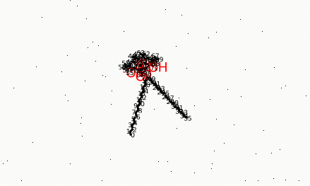 CCCCCCCCCCCCCCCCCCC(CCCCCCCCCCCCCCCCC)OC(=O)C(Cc1cc(C(C)(C)C)cc(C(C)(C)C)c1O)(Cc1cc(C(C)(C)C)cc(C(C)(C)C)c1O)C(=O)O